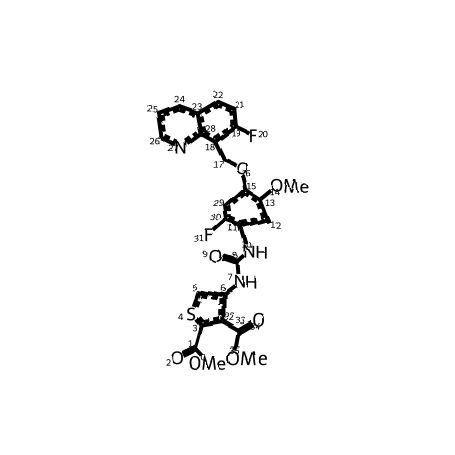 COC(=O)c1scc(NC(=O)Nc2cc(OC)c(OCc3c(F)ccc4cccnc34)cc2F)c1C(=O)OC